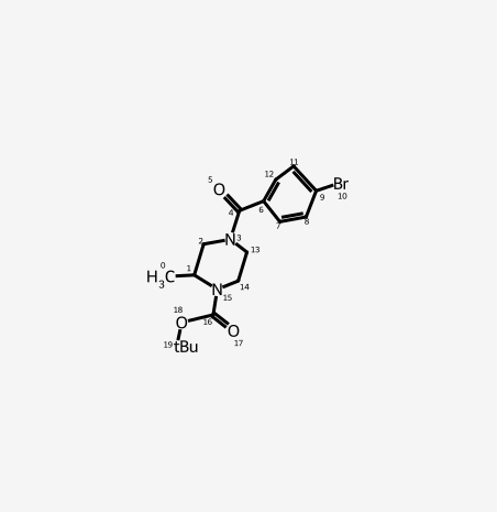 CC1CN(C(=O)c2ccc(Br)cc2)CCN1C(=O)OC(C)(C)C